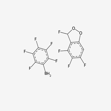 Bc1c(F)c(F)c(F)c(F)c1F.Fc1cc2c(c(F)c1F)C(F)OO2